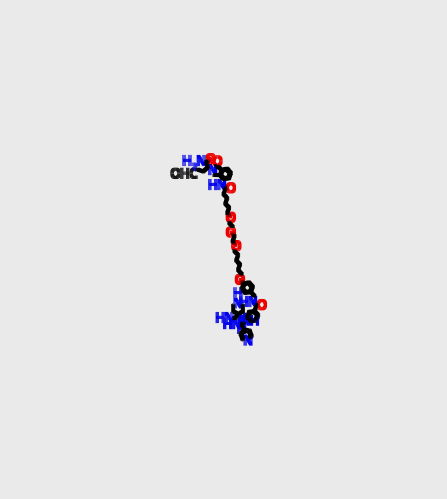 N=C(NC(=N)C1(Nc2cccc(C(=O)NCc3ccc(OCCCCCCOCCOCCOCCCCCC(=O)Nc4cccc5c4CN(C(CCC=O)C(N)=O)C5=O)cc3)c2)CCNCC1)c1ccncc1